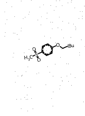 CCC(C)COc1ccc(S(C)(=O)=O)cc1